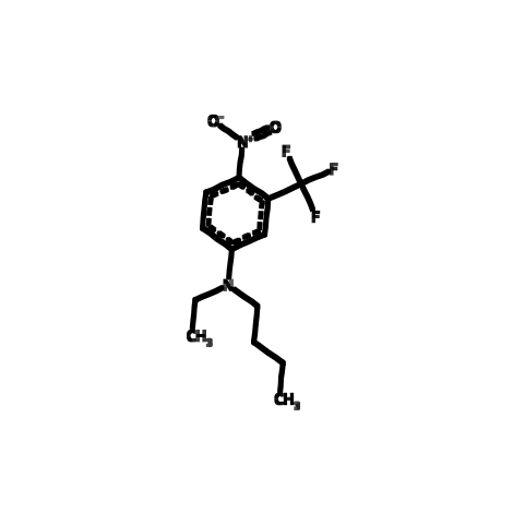 CCCCN(CC)c1ccc([N+](=O)[O-])c(C(F)(F)F)c1